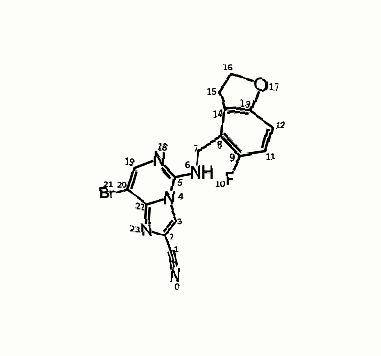 N#Cc1cn2c(NCc3c(F)ccc4c3CCO4)ncc(Br)c2n1